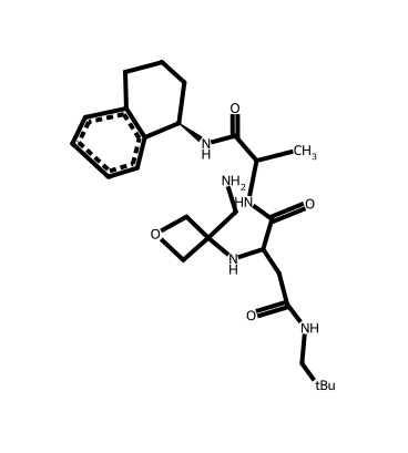 CC(NC(=O)C(CC(=O)NCC(C)(C)C)NC1(CN)COC1)C(=O)N[C@@H]1CCCc2ccccc21